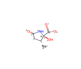 O=C1CC[C@@](O)(C(=O)[O-])N1.[Na+]